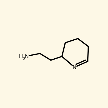 NCCC1CCCC=N1